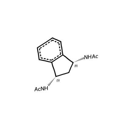 CC(=O)N[C@H]1C[C@@H](NC(C)=O)c2ccccc21